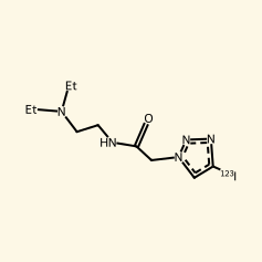 CCN(CC)CCNC(=O)Cn1cc([123I])nn1